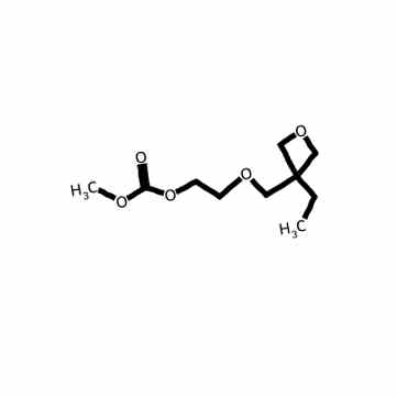 CCC1(COCCOC(=O)OC)COC1